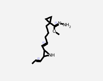 C/C=C/C1NC1/C=C/CCCC1(/C(=N/N)OC)CC1